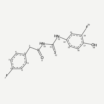 O=C(Cc1ccc(F)cc1)NC(=S)Nc1ccc(O)c(F)c1